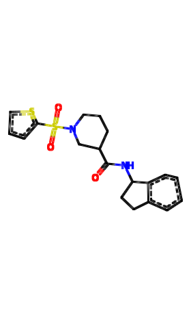 O=C(NC1CCc2ccccc21)C1CCCN(S(=O)(=O)c2cccs2)C1